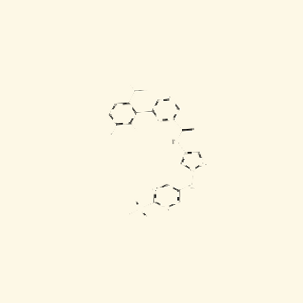 C[C@H](c1cnc(S(C)(=O)=O)nc1)n1cc(NC(=O)c2cncc(-c3c(C(F)F)ccc(Cl)c3F)n2)cn1